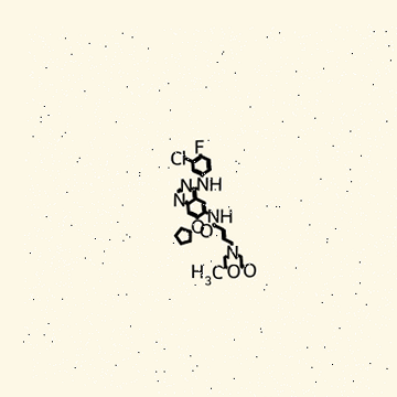 C[C@@H]1CN(C/C=C/C(=O)Nc2cc3c(Nc4ccc(F)c(Cl)c4)ncnc3cc2OC2CCCC2)CC(=O)O1